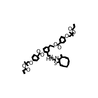 C=CC(=O)OC(C)(C)COc1ccc(C(=O)OCCc2ccc(OC(=O)c3ccc(OCC(C)(C)OC(=O)C=C)cc3)c(/C=N/Nc3nc4c(s3)/C=C\C/C=C\C=C/C4=C)c2)cc1